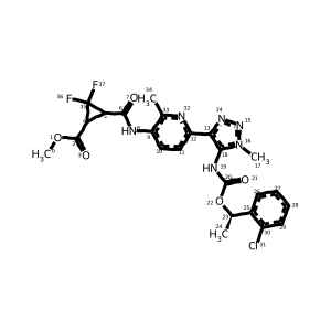 COC(=O)C1C(C(=O)Nc2ccc(-c3nnn(C)c3NC(=O)O[C@H](C)c3ccccc3Cl)nc2C)C1(F)F